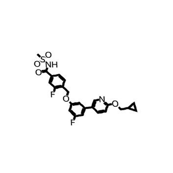 CS(=O)(=O)NC(=O)c1ccc(COc2cc(F)cc(-c3ccc(OCC4CC4)nc3)c2)c(F)c1